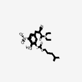 CCN(CC)C(=O)C(C#N)=Cc1cc(OC(=O)OCCCC(C)C)c(O)c([N+](=O)[O-])c1